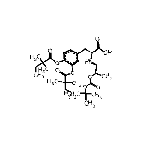 CCC(C)(C)C(=O)Oc1ccc(C[C@H](NCC(C)OC(=O)OC(C)(C)C)C(=O)O)cc1OC(=O)C(C)(C)CC